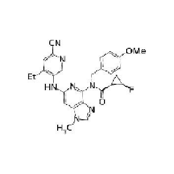 CCc1cc(C#N)ncc1Nc1cc2c(ncn2C)c(N(Cc2ccc(OC)cc2)C(=O)[C@H]2C[C@H]2F)n1